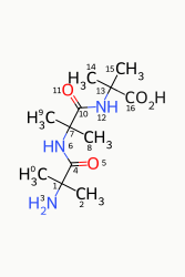 CC(C)(N)C(=O)NC(C)(C)C(=O)NC(C)(C)C(=O)O